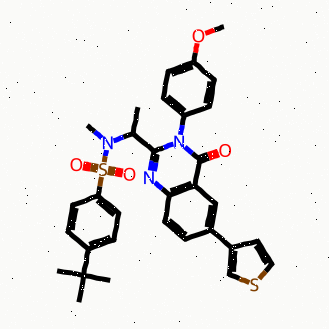 COc1ccc(-n2c(C(C)N(C)S(=O)(=O)c3ccc(C(C)(C)C)cc3)nc3ccc(-c4ccsc4)cc3c2=O)cc1